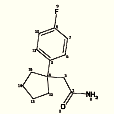 NC(=O)CC1(c2ccc(F)cc2)CCCC1